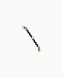 O=C=NCCCCCCCOCCCCCCCN=C=O